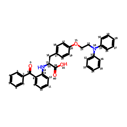 O=C(c1ccccc1)c1ccccc1N[C@@H](Cc1ccc(OCCN(c2ccccc2)c2ccccc2)cc1)C(=O)O